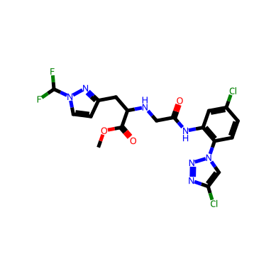 COC(=O)C(Cc1ccn(C(F)F)n1)NCC(=O)Nc1cc(Cl)ccc1-n1cc(Cl)nn1